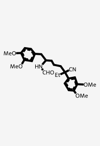 CCC(C#N)(CCCC(Cc1ccc(OC)c(OC)c1)NC=O)c1ccc(OC)c(OC)c1